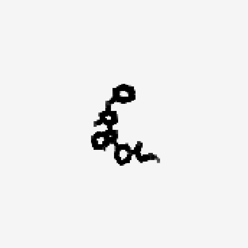 C=CC(=O)N1CCC[C@@H](n2nc(-c3ccc(Oc4ccccc4)cc3F)c3cncnc32)C1